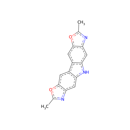 Cc1nc2cc3[nH]c4cc5nc(C)oc5cc4c3cc2o1